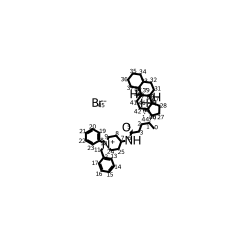 CC(CCC(=O)NC1CC[N+](Cc2ccccc2)(c2ccccc2)CC1)[C@H]1CC[C@H]2[C@@H]3CCC4CCCC[C@]4(C)[C@H]3CC[C@]12C.[Br-]